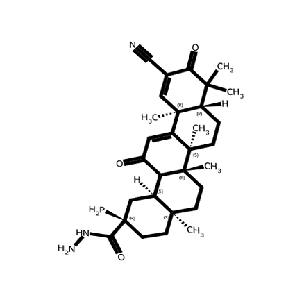 CC1(C)C(=O)C(C#N)=C[C@]2(C)C3=CC(=O)C4[C@@H]5C[C@@](P)(C(=O)NN)CC[C@]5(C)CC[C@@]4(C)[C@]3(C)CC[C@@H]12